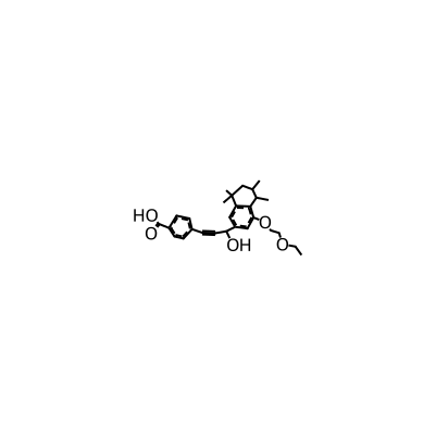 CCOCCOc1cc(C(O)C#Cc2ccc(C(=O)O)cc2)cc2c1C(C)C(C)CC2(C)C